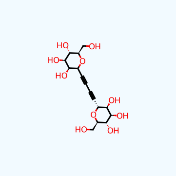 OC[C@H]1O[C@H](C#CC#CC2O[C@H](CO)[C@@H](O)[C@H](O)[C@@H]2O)[C@@H](O)[C@@H](O)[C@@H]1O